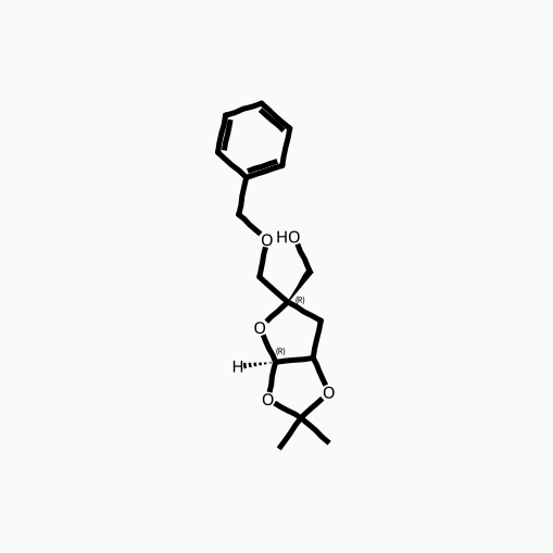 CC1(C)OC2C[C@@](CO)(COCc3ccccc3)O[C@@H]2O1